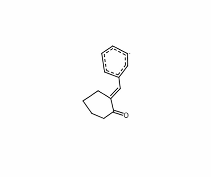 O=C1CCCC/C1=C\c1c[c]ccc1